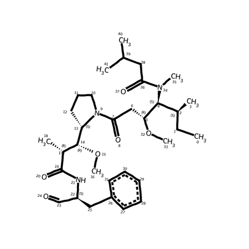 CC[C@H](C)[C@@H]([C@@H](CC(=O)N1CCC[C@H]1[C@H](OC)[C@@H](C)C(=O)N[C@H](C=O)Cc1ccccc1)OC)N(C)C(=O)CC(C)C